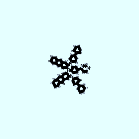 c1ccc(-c2ccc(N3c4cc5cc6ccccc6cc5cc4B4c5cc6cc7ccccc7cc6cc5N(c5ccc(-c6ccccc6)cc5)c5cc(-c6ccncn6)cc3c54)cc2)cc1